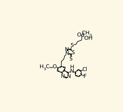 CCOc1cc2ncnc(Nc3ccc(F)c(Cl)c3)c2cc1CCCn1nc(SCCCP(C)(=O)O)sc1=S